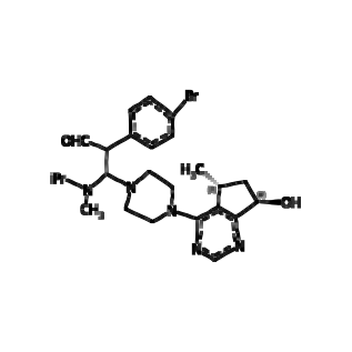 CC(C)N(C)C(C(C=O)c1ccc(Br)cc1)N1CCN(c2ncnc3c2[C@H](C)C[C@H]3O)CC1